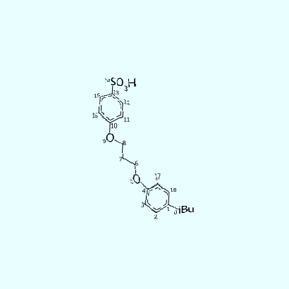 CCC(C)c1ccc(OCCCOc2ccc(S(=O)(=O)O)cc2)cc1